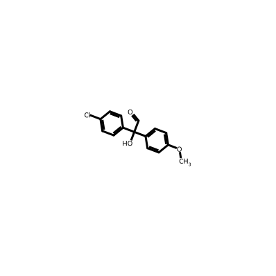 COc1ccc(C(O)(C=O)c2ccc(Cl)cc2)cc1